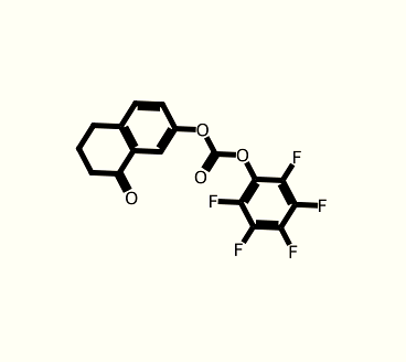 O=C(Oc1ccc2c(c1)C(=O)CCC2)Oc1c(F)c(F)c(F)c(F)c1F